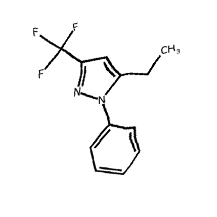 CCc1cc(C(F)(F)F)nn1-c1ccccc1